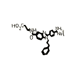 N=C(N)c1ccc(-c2nc3cc(C(=O)NCCC(=O)O)ccc3n2CCCc2ccccc2)cc1